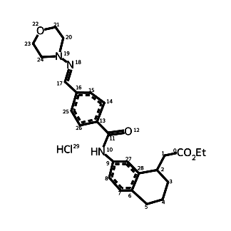 CCOC(=O)CC1CCCc2ccc(NC(=O)c3ccc(C=NN4CCOCC4)cc3)cc21.Cl